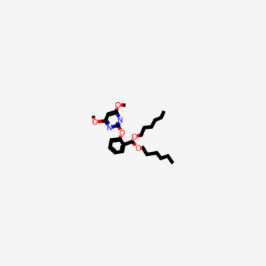 CCCCCCOC(OCCCCCC)c1ccccc1Oc1nc(OC)cc(OC)n1